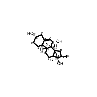 C[C@]12CC[C@H]3[C@@H]([C@@H](O)C=C4C[C@@H](O)CC[C@@]43C)[C@@H]1C[C@@H](I)[C@@H]2O